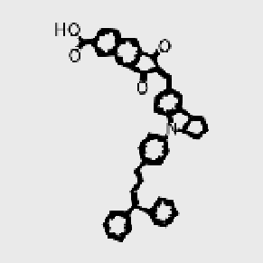 O=C(O)c1ccc2cc3c(cc2c1)C(=O)C(=Cc1ccc2c(c1)C1CCCC1N2c1ccc(/C=C/C=C(c2ccccc2)c2ccccc2)cc1)C3=O